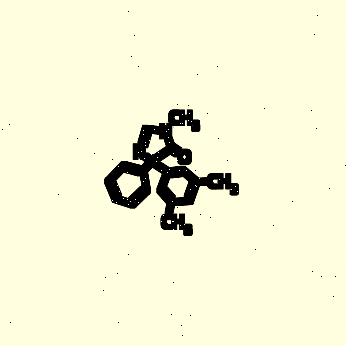 Cc1cc(C)cc(C2(c3ccccc3)N=CN(C)C2=O)c1